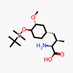 CO[C@@H]1C[C@H](C[C@@H](C)[C@H](N)C(=O)O)CCC1O[Si](C)(C)C(C)(C)C